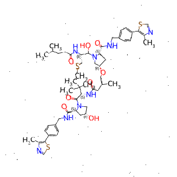 CSC[C@H](NC(=O)CCC(C)C)C(O)N1C[C@H](OCC(C)CC(=O)N[C@H](C(=O)N2C[C@H](O)C[C@H]2C(=O)NCc2ccc(-c3scnc3C)cc2)C(C)(C)C)C[C@H]1C(=O)NCc1ccc(-c2scnc2C)cc1